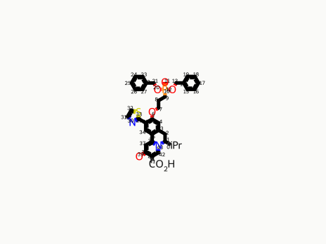 CC(C)C1Cc2cc(OCCCP(=O)(OCc3ccccc3)OCc3ccccc3)c(-c3nccs3)cc2-c2cc(=O)c(C(=O)O)cn21